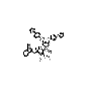 C[C@@H](NC(=O)Cc1c[nH]c2ccccc12)C(=O)NC(CNCOc1ccc(-n2cccc2)cc1)COCNc1ccc(-n2cccc2)cc1